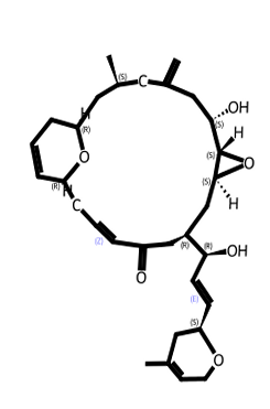 C=C1C[C@H](C)C[C@@H]2CC=C[C@@H](C/C=C\C(=O)C[C@H]([C@@H](O)/C=C/[C@@H]3CC(C)=CCO3)C[C@@H]3O[C@H]3[C@@H](O)C1)O2